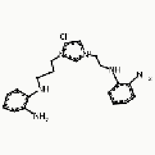 Nc1ccccc1NCCCn1cc[n+](CCNc2ccccc2N)c1.[Cl-]